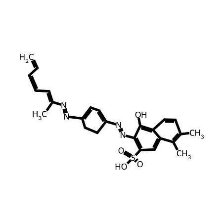 C=C/C=C\C=C(/C)N=NC1=CC=C(N=Nc2c(S(=O)(=O)O)cc3c(C)c(C)ccc3c2O)CC1